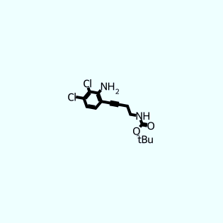 CC(C)(C)OC(=O)NCCC#Cc1ccc(Cl)c(Cl)c1N